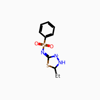 CCC1N[N]C(=NS(=O)(=O)c2ccccc2)S1